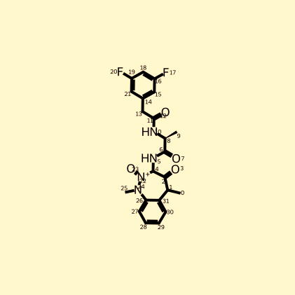 CC1C(=O)C(NC(=O)[C@H](C)NC(=O)Cc2cc(F)cc(F)c2)[N+](=O)N(C)c2ccccc21